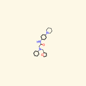 O=C(CN(Cc1ccco1)c1ccccc1)Nc1ccc(N2CCCCC2)cc1